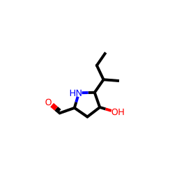 CCC(C)C1NC(C=O)CC1O